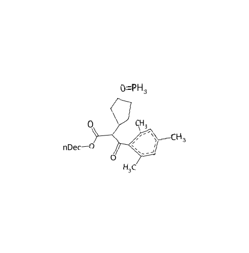 CCCCCCCCCCOC(=O)C(C(=O)c1c(C)cc(C)cc1C)C1CCCC1.O=[PH3]